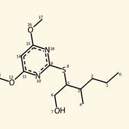 CCCC(C)C(CO)Sc1nc(OC)cc(OC)n1